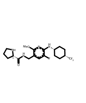 COc1nc(N[C@H]2CC[C@@H](C(F)(F)F)CC2)c(F)cc1CNC(=O)[C@@H]1CCCN1